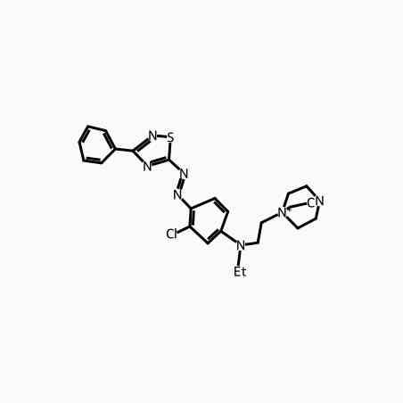 CCN(CC[N+]12CCN(CC1)CC2)c1ccc(N=Nc2nc(-c3ccccc3)ns2)c(Cl)c1